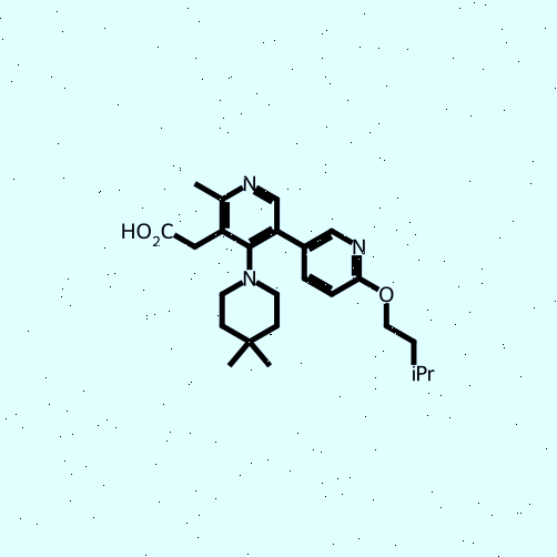 Cc1ncc(-c2ccc(OCCC(C)C)nc2)c(N2CCC(C)(C)CC2)c1CC(=O)O